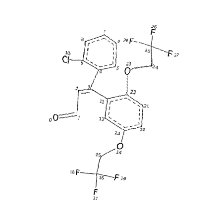 O=CC=C(c1ccccc1Cl)c1cc(OCC(F)(F)F)ccc1OCC(F)(F)F